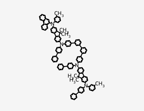 Cc1cccc(N(c2ccc(-c3ccccc3)cc2)c2ccc3c(c2)C(C)(C)c2cc(N(c4ccc(-c5ccccc5)cc4)c4ccc(-c5cccc(-c6cccc(-c7ccc(N(c8ccc(-c9ccccc9)cc8)c8ccc9c(c8)C(C)(C)c8cc(N(c%10cccc(C)c%10)c%10cc%11ccccc%11c%11ccccc%10%11)ccc8-9)cc7)c6)c5)cc4)ccc2-3)c1